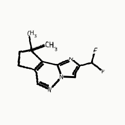 CC1(C)CCc2cnn3cc(C(F)F)nc3c21